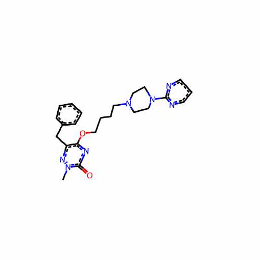 Cn1nc(Cc2ccccc2)c(OCCCCN2CCN(c3ncccn3)CC2)nc1=O